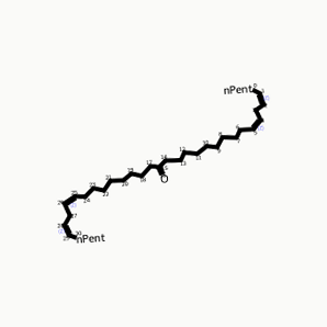 CCCCC/C=C\C/C=C\CCCCCCCCCC(=O)CCCCCCCC/C=C\C/C=C\CCCCC